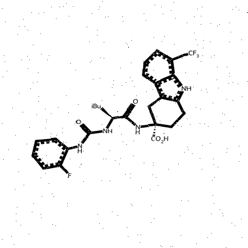 CCC(C)[C@H](NC(=O)Nc1ccccc1F)C(=O)N[C@]1(C(=O)O)CCc2[nH]c3c(C(F)(F)F)cccc3c2C1